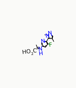 Cc1cnn(C)c1-c1ncc(N[C@@H](C)C(=O)O)cc1F